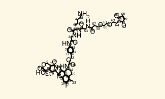 CC[C@@]1(O)C(=O)OCc2c1cc1n(c2=O)Cc2c-1nc1cc(F)c(C)c3c1c2C(NC(=O)OCc1ccc(NC(=O)CNC(=O)[C@H](CCCCN)NC(=O)CNC(=O)CCOCCOCCN2C(=O)C=CC2=O)cc1)CC3